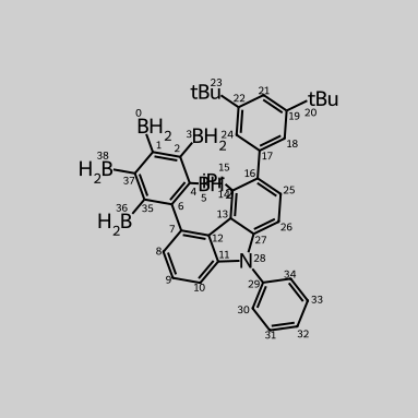 Bc1c(B)c(B)c(-c2cccc3c2c2c(C(C)C)c(-c4cc(C(C)(C)C)cc(C(C)(C)C)c4)ccc2n3-c2ccccc2)c(B)c1B